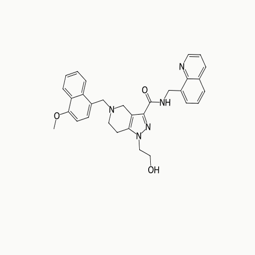 COc1ccc(CN2CCc3c(c(C(=O)NCc4cccc5cccnc45)nn3CCO)C2)c2ccccc12